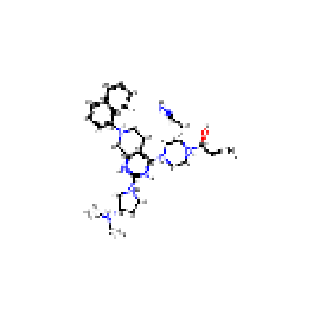 C=CC(=O)N1CCN(c2nc(N3CC[C@H](N(C)C)C3)nc3c2CCN(c2cccc4ccccc24)C3)C[C@@H]1CC#N